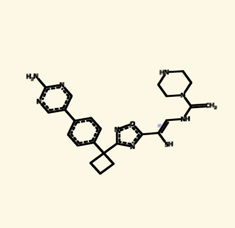 C=C(N/C=C(\S)c1nc(C2(c3ccc(-c4cnc(N)nc4)cc3)CCC2)no1)N1CCNCC1